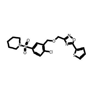 O=S(=O)(c1ccc(Cl)c(COCc2noc(-c3cccs3)n2)c1)N1CCCCC1